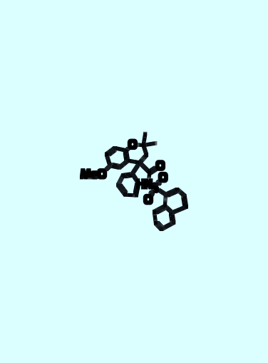 COc1ccc2c(c1)C(C(=O)NS(=O)(=O)c1cccc3ccccc13)(c1ccccc1)CC(C)(C)O2